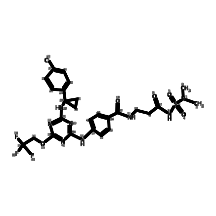 CN(C)S(=O)(=O)NC(=O)CCNC(=O)c1ccc(Nc2nc(NC3(c4ccc(Cl)cc4)CC3)nc(OCC(F)(F)F)n2)cc1